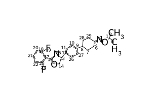 CC(C)ON=C1CCC(c2ccc(C3COC(c4c(F)cccc4F)=N3)cc2)CC1